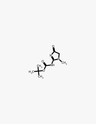 CN1CC(=O)N=C1NC(=O)OC(C)(C)C